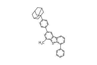 Cc1cc(-c2ccc(C34CC5CC(CC(C5)C3)C4)cc2)cc2c1sc1c(-c3ccccc3)cccc12